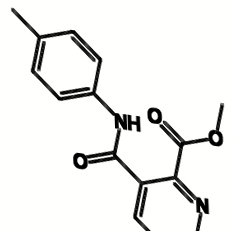 COC(=O)c1ncccc1C(=O)Nc1ccc(C)cc1